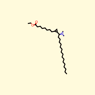 CCCCCCCCCCCCCCCCC(C1CC1CCCCCCCC(=O)OCC)N(C)C